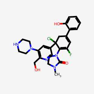 CN1CCN(C2=C(F)C=C(c3ccccc3O)CC2(Cl)c2cnc(CO)c(N3CCNCC3)c2)C1=O